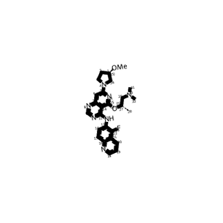 CO[C@H]1CCN(c2cc3ncnc(Nc4ccc5ncccc5c4F)c3c(O[C@@H](C)CN(C)C)n2)C1